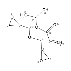 C(OCC1CO1)C1CO1.C=CC(=O)OC(C)O